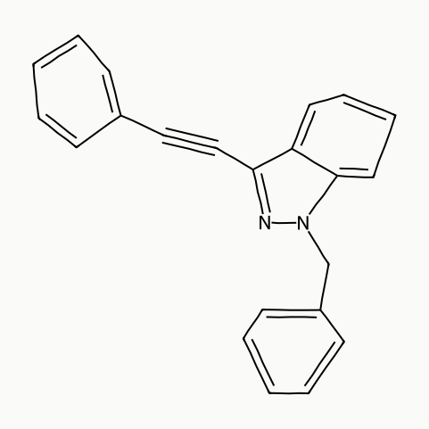 C(#Cc1nn(Cc2ccccc2)c2ccccc12)c1ccccc1